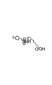 O=C(O)CCCC=CC1CC2CC(NS(=O)(=O)C=Cc3ccc(I)cc3)C1C2